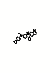 CCN(c1ccc(OC)cc1)c1ccc2c(c1)[Si](C)(C)c1cc3c(cc1C2=O)CCN3C